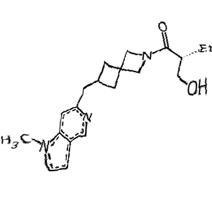 CC[C@H](CO)C(=O)N1CC2(CC(Cc3cc4c(ccn4C)cn3)C2)C1